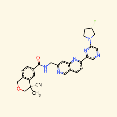 C[C@@]1(C#N)COCc2ccc(C(=O)NCc3cc4nc(-c5cncc(N6CC[C@H](F)C6)n5)ccc4cn3)cc21